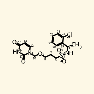 C[C@@H](NS(=O)(=O)CCCOCn1ccc(=O)[nH]c1=O)c1ccccc1Cl